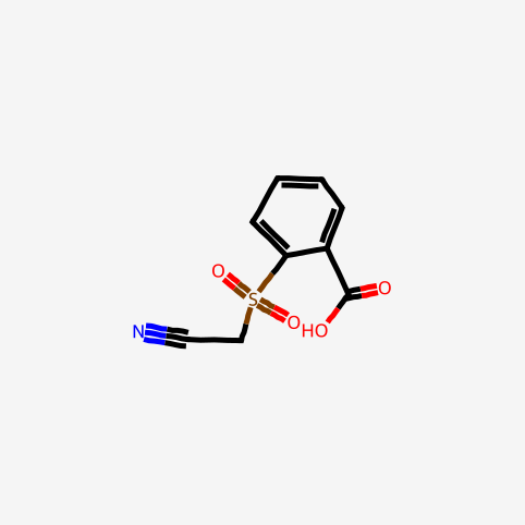 N#CCS(=O)(=O)c1ccccc1C(=O)O